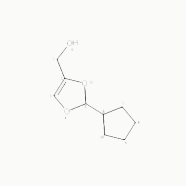 OCC1=COC(C2CCCC2)O1